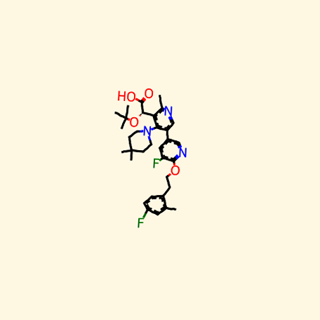 Cc1cc(F)ccc1CCOc1ncc(-c2cnc(C)c([C@H](OC(C)(C)C)C(=O)O)c2N2CCC(C)(C)CC2)cc1F